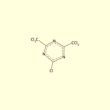 Clc1nc(C(Cl)(Cl)Cl)nc(C(Cl)(Cl)Cl)n1